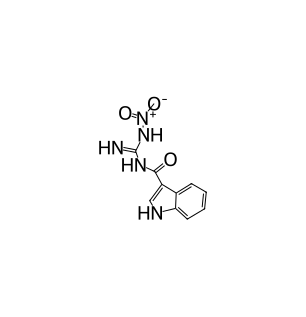 N=C(NC(=O)c1c[nH]c2ccccc12)N[N+](=O)[O-]